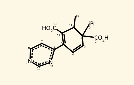 CC(C)C1(C(=O)O)C=CC(c2ccncn2)=C(C(=O)O)C1C